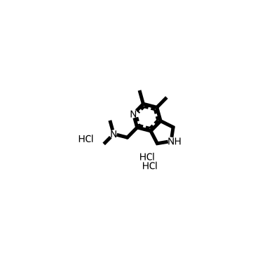 Cc1nc(CN(C)C)c2c(c1C)CNC2.Cl.Cl.Cl